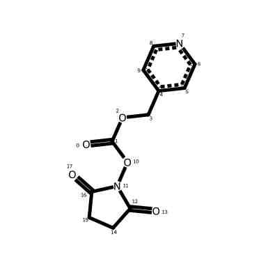 O=C(OCc1ccncc1)ON1C(=O)CCC1=O